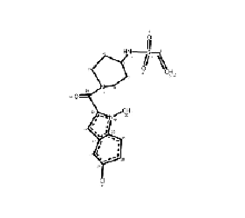 C=CS(=O)(=O)NC1CCN(C(=O)c2cc3cc(Cl)ccc3n2C)CC1